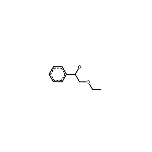 CCOCC([O])c1ccccc1